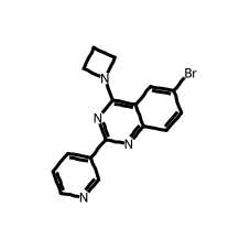 Brc1ccc2nc(-c3cccnc3)nc(N3CCC3)c2c1